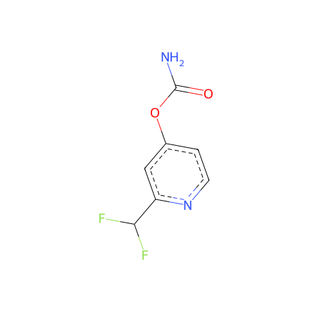 NC(=O)Oc1ccnc(C(F)F)c1